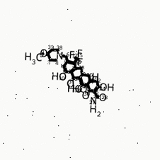 COC1CCN(Cc2cc(O)c3c(c2C(F)(F)F)CC2C[C@H]4CC(O)=C(C(N)=O)C(=O)[C@@]4(O)C(O)=C2C3=O)CC1